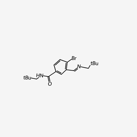 CC(C)(C)C/N=C/c1cc(C(=O)NCC(C)(C)C)ccc1Br